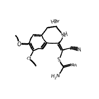 Br.COc1cc2c(cc1OC)/C(=C(/C#N)SC(=N)N)NCC2